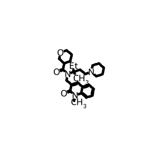 CCC(C)(CCN1CCCCC1)N(Cc1cc2ccccc2n(C)c1=O)C(=O)C1CCCOC1